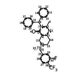 Cc1nc2c(c(=O)n1C(c1ccccc1)c1ccccc1)CN([C@@H](C)c1ccc(C(F)(F)F)c(F)c1)CC2